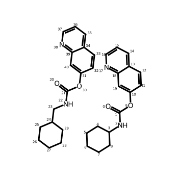 O=C(NC1CCCCC1)Oc1ccc2cccnc2c1.O=C(NCC1CCCCC1)Oc1ccc2cccnc2c1